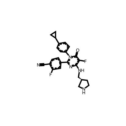 N#Cc1ccc(-c2nc(NC[C@H]3CCNC3)c(F)c(=O)n2-c2ccc(C3CC3)cc2)cc1F